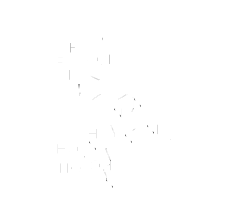 Cc1ccc(C(O)(CO)C(F)(F)F)cc1-c1cnc2c(N)nc(/C(=C/C=N)NC(O)(O)O)cn12